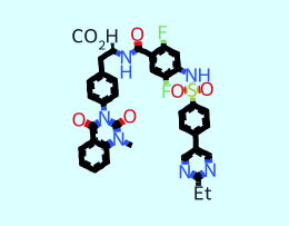 CCc1ncc(-c2ccc(S(=O)(=O)Nc3cc(F)c(C(=O)N[C@@H](Cc4ccc(-n5c(=O)c6ccccc6n(C)c5=O)cc4)C(=O)O)cc3F)cc2)cn1